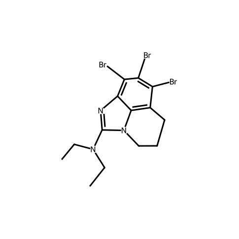 CCN(CC)c1nc2c(Br)c(Br)c(Br)c3c2n1CCC3